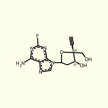 C#C[C@]1(CO)OC(n2cnc3c(N)nc(F)nc32)C[C@@H]1O